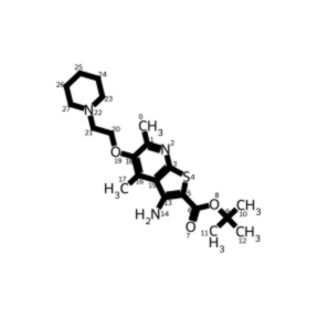 Cc1nc2sc(C(=O)OC(C)(C)C)c(N)c2c(C)c1OCCN1CCCCC1